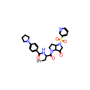 CC(C)CC(NC(=O)c1ccc(N2CCCC2)cc1)C(=O)N1CCC2C1C(=O)CN2S(=O)(=O)c1cccnc1